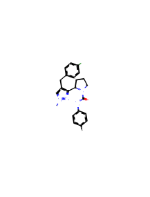 Cn1cc(Cc2ccc(Cl)cc2)c(C2CCCN2C(=O)Nc2ccc(C(F)(F)F)cc2)n1